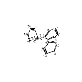 CCCCCCc1ccccc1.c1ccccc1.c1ccccc1